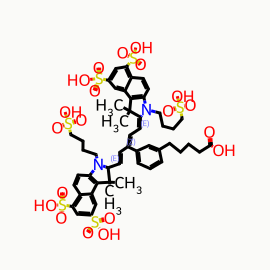 CC1(C)\C(=C/C=C(/C=C/C2N(CCCCS(=O)(=O)O)c3ccc4c(S(=O)(=O)O)cc(S(=O)(=O)O)cc4c3C2(C)C)c2cccc(CCCCC(=O)O)c2)N(CCCCS(=O)(=O)O)c2ccc3c(S(=O)(=O)O)cc(S(=O)(=O)O)cc3c21